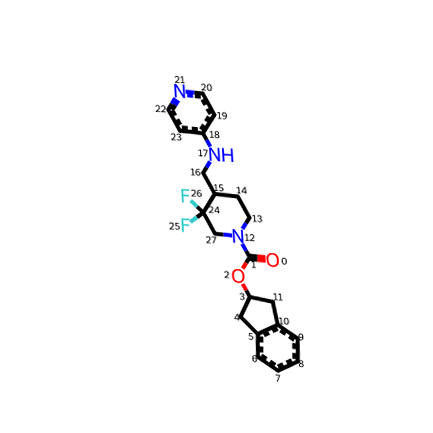 O=C(OC1Cc2ccccc2C1)N1CCC(CNc2ccncc2)C(F)(F)C1